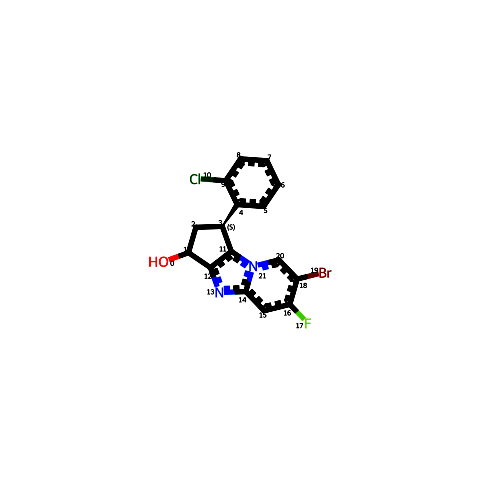 OC1C[C@@H](c2ccccc2Cl)c2c1nc1cc(F)c(Br)cn21